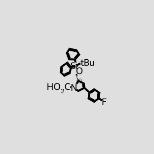 CC(C)(C)[Si](OC[C@@H]1C=C(c2ccc(F)cc2)CN1C(=O)O)(c1ccccc1)c1ccccc1